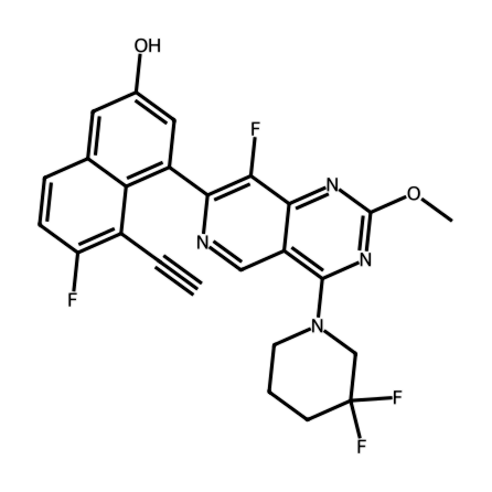 C#Cc1c(F)ccc2cc(O)cc(-c3ncc4c(N5CCCC(F)(F)C5)nc(OC)nc4c3F)c12